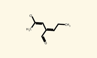 CC/C=C(C=O)\C=C(/C)Cl